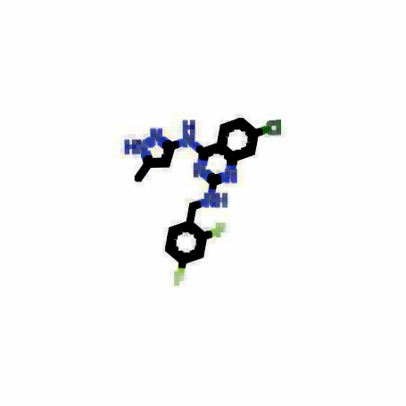 Cc1cc(Nc2nc(NCc3ccc(F)cc3F)nc3cc(Cl)ccc23)n[nH]1